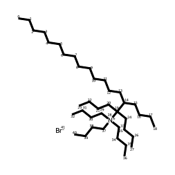 CCCCCCCCCCCCCCC(CCCC)C(CCCC)(CCCC)[N+](CCCC)(CCCC)CCCC.[Br-]